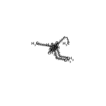 CCCCC/C=C\C/C=C\CCCCCCCC(=O)OCC(OC(=O)CCCCCCC/C=C\CCCCCCCC)C(O)(C(=O)CCC)C(OC(=O)CCCCCCCCCCCCCCC)C(COC(=O)CCC)OC(=O)CCCCCCC/C=C\CCCCCCCC